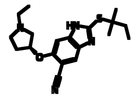 CCN1CC[C@H](Oc2cc3[nH]c(SC(C)(C)CC)nc3cc2C#N)C1